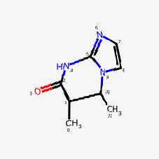 CC1C(=O)Nc2nccn2C1C